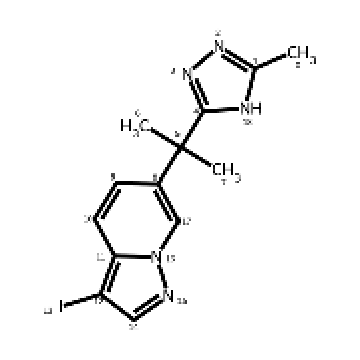 Cc1nnc(C(C)(C)c2ccc3c(I)cnn3c2)[nH]1